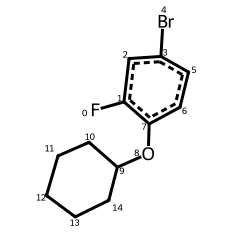 Fc1cc(Br)ccc1OC1CCCCC1